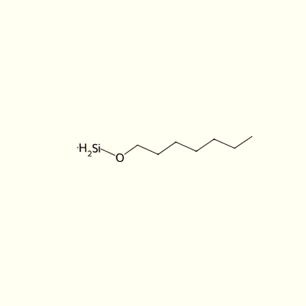 CCCCCCCO[SiH2]